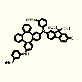 CCCCCCCCC1(CCCCCCCC)c2cc(C)ccc2-c2ccc(N(c3cccc(CCCCCC)c3)c3ccc4c(c3)-c3ccccc3-c3ccccc3-c3cc(Nc5cccc(CCCCCC)c5)ccc3-4)cc21